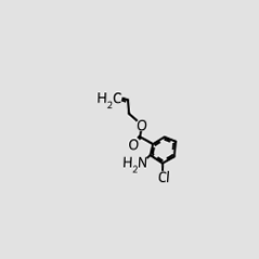 C=CCOC(=O)c1cccc(Cl)c1N